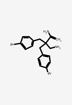 C=C(N)C(CN)(Cc1ccc(C(C)C)cc1)Cc1ccc(C(C)C)cc1